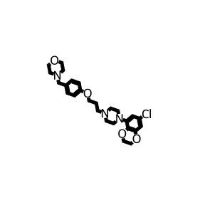 Clc1cc2c(c(N3CCN(CCCOc4ccc(CN5CCOCC5)cc4)CC3)c1)OCCO2